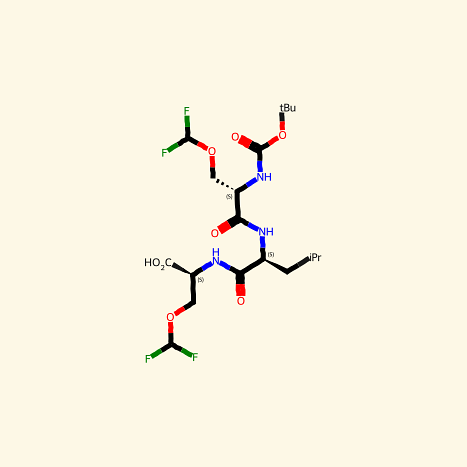 CC(C)C[C@H](NC(=O)[C@H](COC(F)F)NC(=O)OC(C)(C)C)C(=O)N[C@@H](COC(F)F)C(=O)O